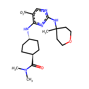 CN(C)C(=O)[C@H]1CC[C@H](Nc2nc(NC3(C)CCOCC3)ncc2[N+](=O)[O-])CC1